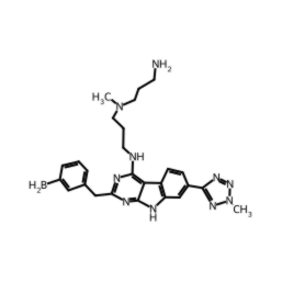 Bc1cccc(Cc2nc(NCCCN(C)CCCN)c3c(n2)[nH]c2cc(-c4nnn(C)n4)ccc23)c1